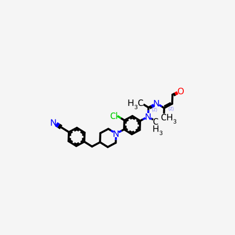 CC(=C/C=O)/N=C(/C)N(C)c1ccc(N2CCC(Cc3ccc(C#N)cc3)CC2)c(Cl)c1